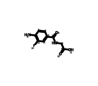 Nc1ccc(C(=O)NCC(=O)O)cc1F